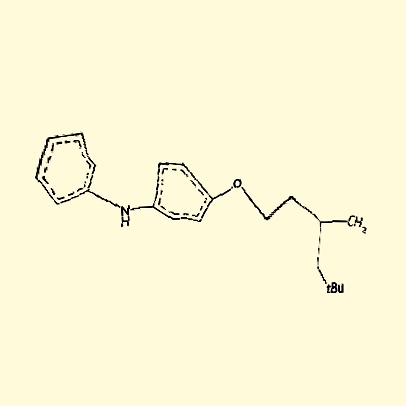 CC(CCOc1ccc(Nc2ccccc2)cc1)CC(C)(C)C